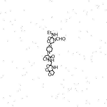 CCNC(=O)N(C=O)CC(=O)N1CCN(C(CC#N)C(=O)NCC(=O)NC2CCOC2=O)CC1